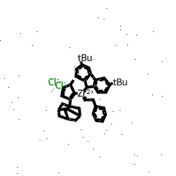 CC1C=CC(C23CC4CC(CC(C4)C2)C3)=[C]1/[Zr+2](=[CH]/Cc1ccccc1)[CH]1c2ccc(C(C)(C)C)cc2-c2cc(C(C)(C)C)ccc21.[Cl-].[Cl-]